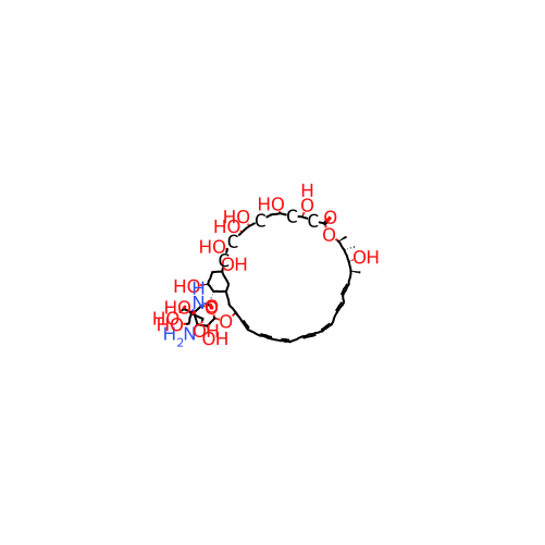 C[C@@H]1[C@H](O)[C@@H](C)/C=C/C=C/C=C/C=C/C=C/C=C/C=C/C(O[C@@H]2OC[C@@H](O)[C@H](N)[C@H]2O)CC2C[C@](O)(C[C@@H](O)C[C@@H](O)[C@H](O)CC[C@@H](O)C[C@@H](O)CC(=O)O[C@H]1C)C[C@H](O)[C@H]2C(=O)NC(CO)(CO)CO